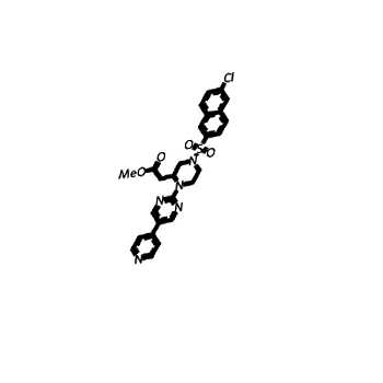 COC(=O)CC1CN(S(=O)(=O)c2ccc3cc(Cl)ccc3c2)CCN1c1ncc(-c2ccncc2)cn1